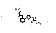 CCCC1Cc2c(cccc2N2CC[C@H](NC(=O)CC)C2)O1